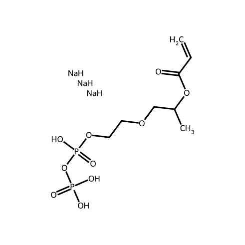 C=CC(=O)OC(C)COCCOP(=O)(O)OP(=O)(O)O.[NaH].[NaH].[NaH]